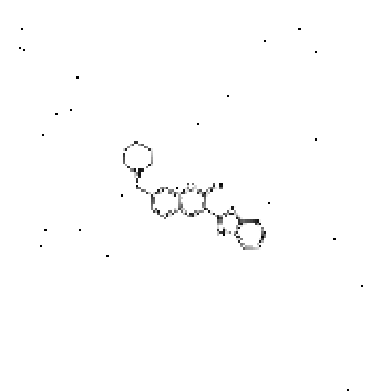 O=c1oc2cc(CN3CCCCC3)ccc2cc1-c1nc2ccccc2s1